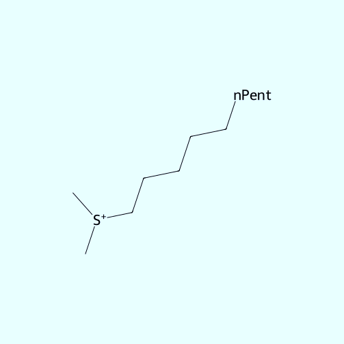 CCCCCCCCCC[S+](C)C